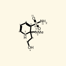 CNC1(CCO)NC=CC=C1S(N)(=O)=O